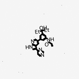 C=CC(=O)Nc1cc(-c2cnc3[nH]cc(-c4ccncn4)c3c2)cc(C(O)(CC)CC)c1